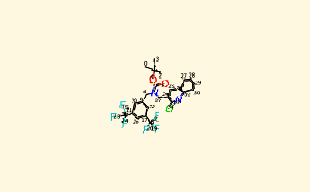 CC(C)(C)OC(=O)N(Cc1cc(C(F)(F)F)cc(C(F)(F)F)c1)Cc1cc2ccccc2nc1Cl